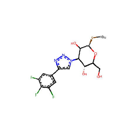 CCCCS[C@H]1OC(CO)[C@H](O)C(n2cc(-c3cc(F)c(F)c(F)c3)nn2)C1O